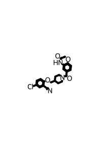 N#Cc1cc(Cl)ccc1OCC1CCN(C(=O)c2ccc3c(c2)NC(=O)CO3)CC1